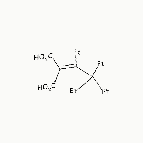 CCC(=C(C(=O)O)C(=O)O)C(CC)(CC)C(C)C